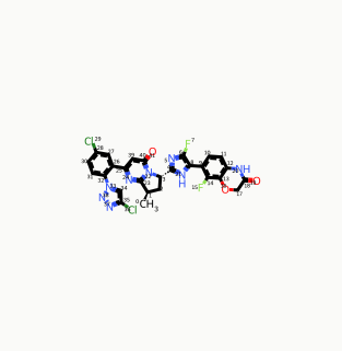 C[C@@H]1C[C@@H](c2nc(F)c(-c3ccc4c(c3F)OCC(=O)N4)[nH]2)n2c1nc(-c1cc(Cl)ccc1-n1cc(Cl)nn1)cc2=O